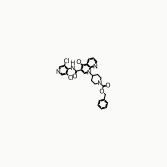 O=C(Nc1c(Cl)cncc1Cl)c1cn(C2CCN(C(=O)OCc3ccccc3)CC2)c2ncccc2c1=O